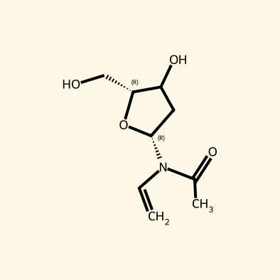 C=CN(C(C)=O)[C@H]1CC(O)[C@@H](CO)O1